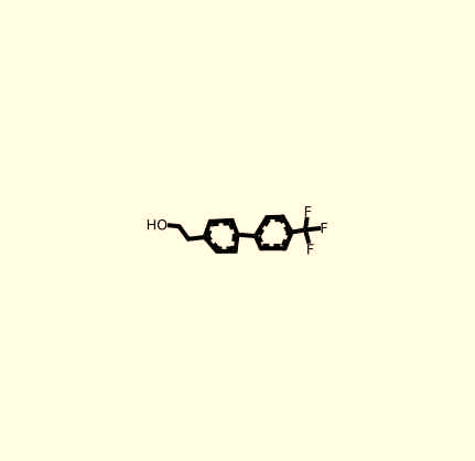 OCCc1ccc(-c2ccc(C(F)(F)F)cc2)cc1